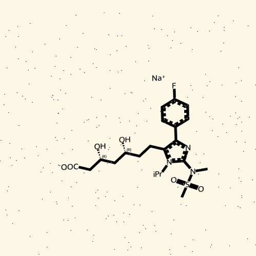 CC(C)n1c(N(C)S(C)(=O)=O)nc(-c2ccc(F)cc2)c1CC[C@@H](O)C[C@@H](O)CC(=O)[O-].[Na+]